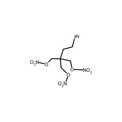 CC(C)CCC(CO[N+](=O)[O-])(CO[N+](=O)[O-])CO[N+](=O)[O-]